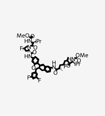 COC(=O)N[C@H](C(=O)C(C)C[C@@H](F)C[C@H](C)C(=O)Nc1ccc2c(c1)C=C1c3ccc(NC(=O)[C@@H]4C[C@@H](F)CN4C(=O)[C@@H](NC(=O)OC)C(C)C)cc3OC(c3cc(F)cc(F)c3)C1C2)C(C)C